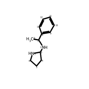 CC(NC1CCCN1)c1ccccc1